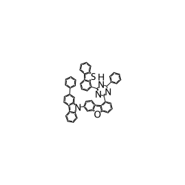 c1ccc(-c2ccc3c4ccccc4n(-c4ccc5c(c4)oc4cccc(C6=NC(c7ccccc7)NC(c7cccc8c7sc7ccccc78)=N6)c45)c3c2)cc1